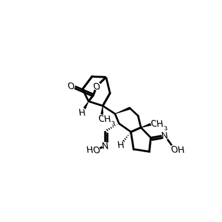 C[C@]1([C@H]2CC[C@]3(C)/C(=N/O)CC[C@H]3[C@@H]2/C=N/O)CC2CC[C@@H]1C(=O)O2